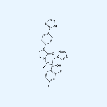 C[C@@H](n1ccn(-c2ccc(-c3ncc[nH]3)cc2)c1=O)[C@](O)(Cn1cncn1)c1ccc(F)cc1F